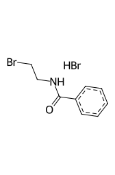 Br.O=C(NCCBr)c1ccccc1